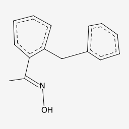 CC(=NO)c1ccccc1Cc1ccccc1